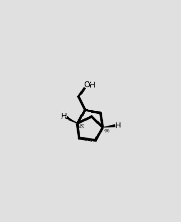 OCC1C[C@@H]2CC[C@H]1C2